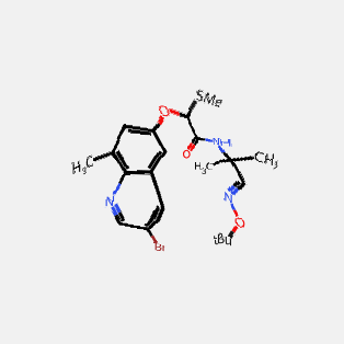 CSC(Oc1cc(C)c2ncc(Br)cc2c1)C(=O)NC(C)(C)C=NOC(C)(C)C